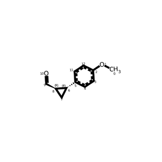 COc1ccc([C@@H]2C[C@H]2C=O)cc1